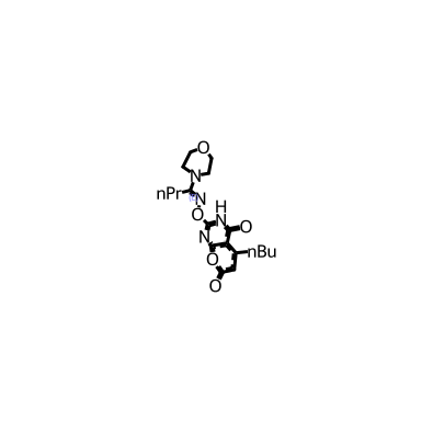 CCCCc1cc(=O)oc2nc(O/N=C(\CCC)N3CCOCC3)[nH]c(=O)c12